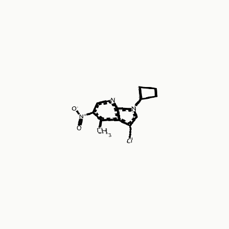 Cc1c([N+](=O)[O-])cnc2c1c(Cl)cn2C1CCC1